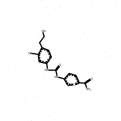 NC(=O)c1ccc(NC(=S)Nc2ccc(CCO)c(Cl)c2)cc1